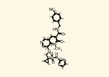 Cn1c(=O)c(C(=O)NCc2ccc(C#N)cc2)cc2cnnc(OCC3(S(=O)(=O)Nc4nccs4)CC3)c21